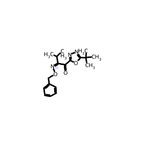 CC(C)/C(=N/OCc1ccccc1)C(=O)c1nnc(C(C)(C)C)o1